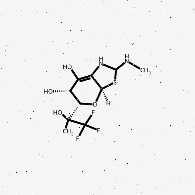 CNC1NC2=C(O)[C@@H](O)[C@@H](C(C)(O)C(F)(F)F)O[C@@H]2S1